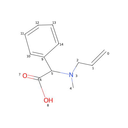 C=CCN(C)C(C(=O)O)c1ccccc1